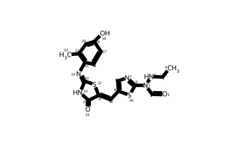 CCNN(C=O)c1ncc(/C=C2\S/C(=N\c3ccc(O)cc3C)NC2=O)s1